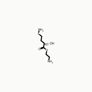 Cl.Cl.NCCOC(=O)CCCSN